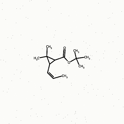 C/C=C\C1C(C(=O)OC(C)(C)C)C1(C)C